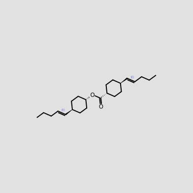 CCC/C=C/[C@H]1CC[C@H](OC(=O)[C@H]2CC[C@H](/C=C/CCC)CC2)CC1